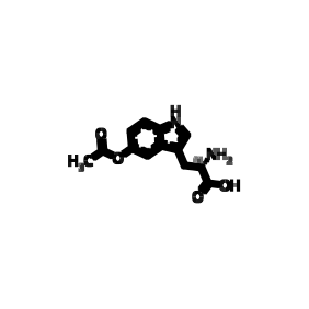 CC(=O)Oc1ccc2[nH]cc(C[C@H](N)C(=O)O)c2c1